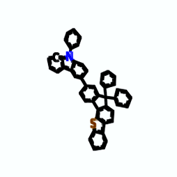 c1ccc(-n2c3ccccc3c3cc(-c4ccc5c(c4)C(c4ccccc4)(c4ccccc4)c4ccc6c(sc7ccccc76)c4-5)ccc32)cc1